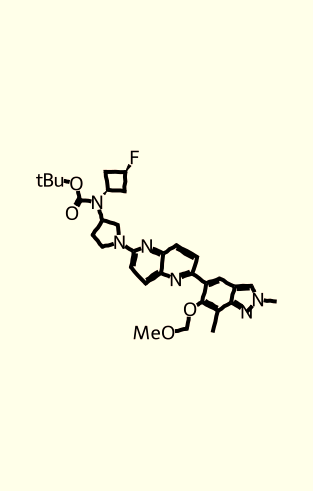 COCOc1c(-c2ccc3nc(N4CCC(N(C(=O)OC(C)(C)C)[C@H]5C[C@H](F)C5)C4)ccc3n2)cc2cn(C)nc2c1C